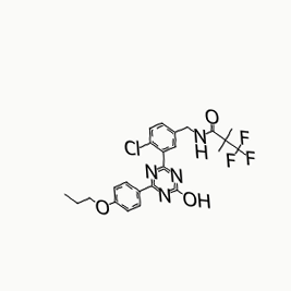 CCCOc1ccc(-c2nc(O)nc(-c3cc(CNC(=O)C(C)(C)C(F)(F)F)ccc3Cl)n2)cc1